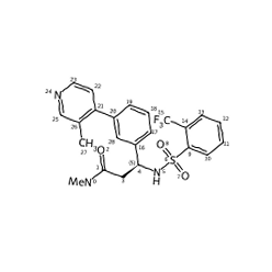 CNC(=O)C[C@H](NS(=O)(=O)c1ccccc1C(F)(F)F)c1cccc(-c2ccncc2C)c1